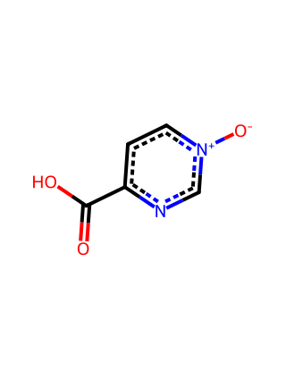 O=C(O)c1cc[n+]([O-])cn1